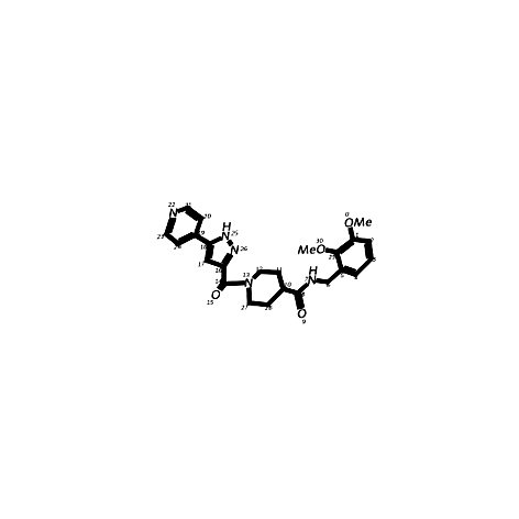 COc1cccc(CNC(=O)C2CCN(C(=O)c3cc(-c4ccncc4)[nH]n3)CC2)c1OC